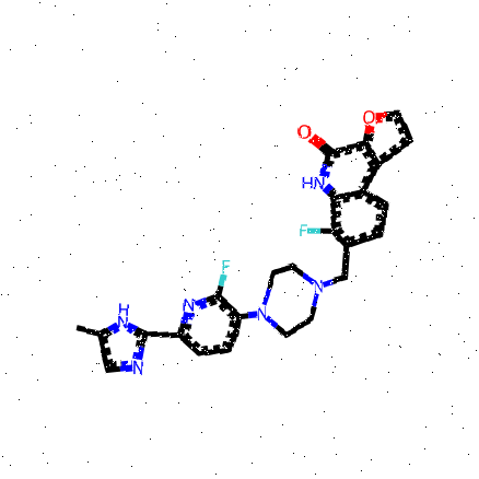 Cc1cnc(-c2ccc(N3CCN(Cc4ccc5c([nH]c(=O)c6occc65)c4F)CC3)c(F)n2)[nH]1